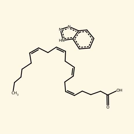 CCCCC/C=C\C/C=C\C/C=C\C/C=C\CCCC(=O)O.c1ccc2[nH]nnc2c1